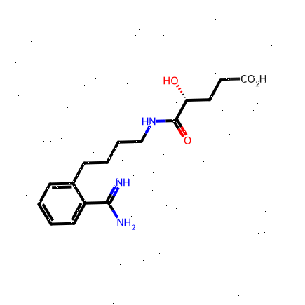 N=C(N)c1ccccc1CCCCNC(=O)[C@H](O)CCC(=O)O